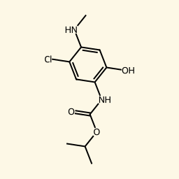 CNc1cc(O)c(NC(=O)OC(C)C)cc1Cl